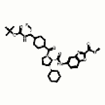 COC(=O)c1nc2cc(NC(=O)[C@@H]3[C@H](C4CCCCC4)CCN3C(=O)C3CCC([C@@H](CF)NC(=O)OC(C)(C)C)CC3)ccc2o1